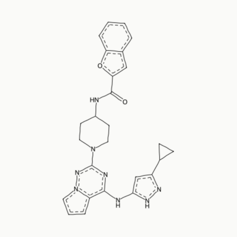 O=C(NC1CCN(c2nc(Nc3cc(C4CC4)n[nH]3)c3cccn3n2)CC1)c1cc2ccccc2o1